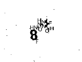 CONc1nc(NC(=O)Nc2ccc3ccc(F)cc3c2)nc(C)c1F